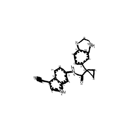 N#Cc1c[nH]c2cc(NC(=O)C3(c4ccc5c(c4)NCO5)CC3)ccc12